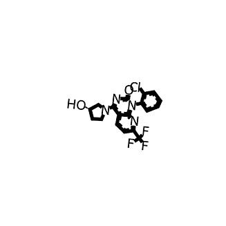 O=c1nc(N2CC[C@H](O)C2)c2ccc(C(F)(F)F)nc2n1-c1ccccc1Cl